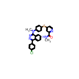 CNC(=O)c1cc(Sc2ccc(N(C)c3nnc(-c4ccc(Cl)cc4)c4ccccc34)cc2)ccn1